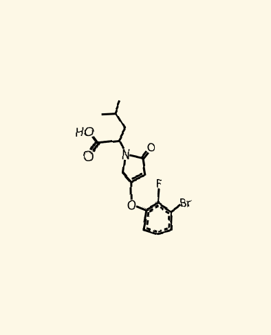 CC(C)CC(C(=O)O)N1CC(Oc2cccc(Br)c2F)=CC1=O